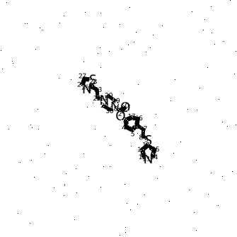 O=C(Oc1ccc(CCSc2ccncc2)cc1)N1CCN(CCc2nccs2)CC1